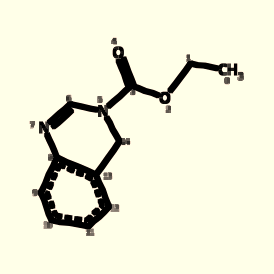 CCOC(=O)N1C=Nc2ccccc2C1